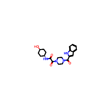 O=C(N[C@H]1CC[C@H](O)CC1)C(=O)N1CCN(C(=O)c2cc3ccccc3[nH]2)CC1